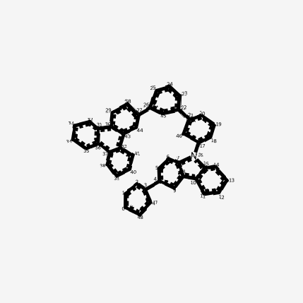 c1ccc(-c2ccc3c(c2)c2ccccc2n3-c2cccc(-c3cccc(-c4ccc5c6ccccc6c6ccccc6c5c4)c3)c2)cc1